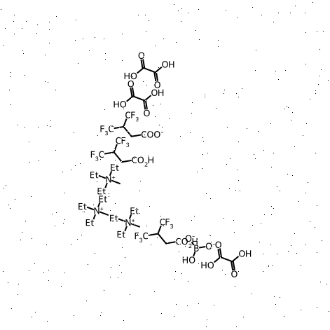 CC[N+](C)(CC)CC.CC[N+](C)(CC)CC.CC[N+](C)(CC)CC.O=C(O)C(=O)O.O=C(O)C(=O)O.O=C(O)C(=O)O.O=C(O)CC(C(F)(F)F)C(F)(F)F.O=C(O)CC(C(F)(F)F)C(F)(F)F.O=C([O-])CC(C(F)(F)F)C(F)(F)F.[O-]B([O-])O